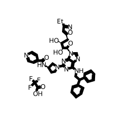 CCc1cc([C@H]2O[C@@H](n3cnc4c(NCC(c5ccccc5)c5ccccc5)nc(N5CC[C@@H](NC(=O)c6ccncc6)C5)nc43)[C@H](O)[C@@H]2O)on1.O=C(O)C(F)(F)F